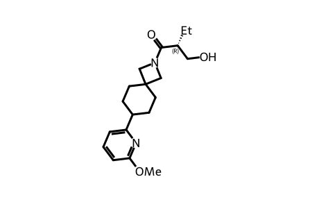 CC[C@H](CO)C(=O)N1CC2(CCC(c3cccc(OC)n3)CC2)C1